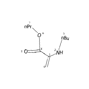 C=C(NCCCC)C(=O)OCCC